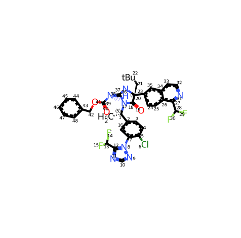 [CH2][C@@H](c1ccc(Cl)c(-n2ncnc2C(F)F)c1)N1C(=O)[C@@](CC(C)(C)C)(c2ccc3c(C(F)F)nccc3c2)N/C1=N/C(=O)OCc1ccccc1